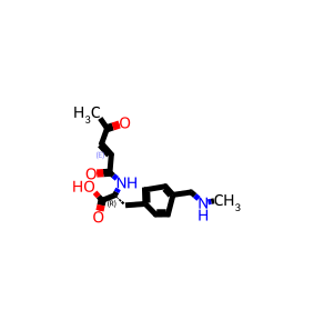 CNCc1ccc(C[C@@H](NC(=O)/C=C/C(C)=O)C(=O)O)cc1